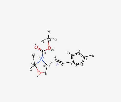 Cc1ccc(/C=C/[C@@H]2COC(C)(C)N2C(=O)OC(C)(C)C)cc1